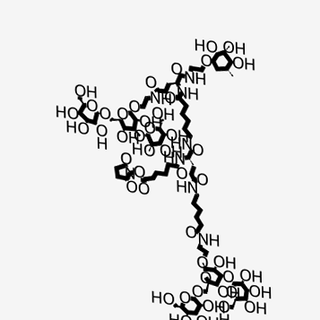 C[C@@H]1C[C@@H](OCCNC(=O)[C@H](CCC(=O)NCCO[C@H]2O[C@H](CO[C@H]3O[C@H](CO)[C@@H](O)[C@H](O)[C@@H]3O)[C@@H](O)[C@H](O[C@H]3O[C@H](CO)[C@@H](O)[C@H](O)[C@@H]3O)[C@@H]2O)NC(=O)CCCCCNC(=O)[C@H](CCC(=O)NCCCCCC(=O)NCCO[C@H]2O[C@H](CO[C@H]3O[C@H](CO)[C@@H](O)[C@H](O)[C@@H]3O)[C@@H](O)[C@H](O[C@H]3O[C@H](CO)[C@@H](O)[C@H](O)[C@@H]3O)[C@@H]2O)NC(=O)CCCCC(=O)ON2C(=O)CCC2=O)[C@@H](O)[C@H](O)[C@@H]1O